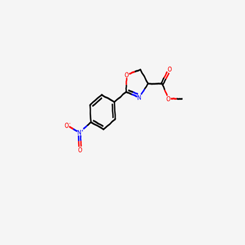 COC(=O)C1COC(c2ccc([N+](=O)[O-])cc2)=N1